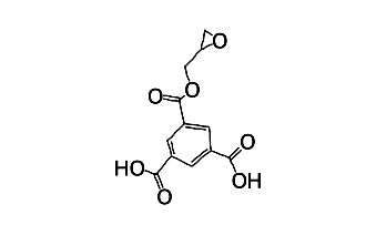 O=C(O)c1cc(C(=O)O)cc(C(=O)OCC2CO2)c1